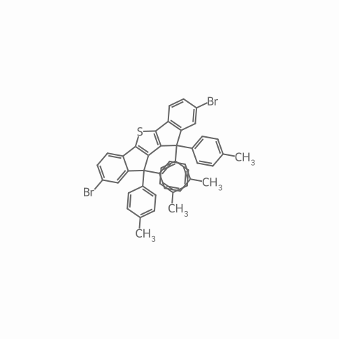 Cc1ccc(C2(c3ccc(C)cc3)c3cc(Br)ccc3-c3sc4c(c32)C(c2ccc(C)cc2)(c2ccc(C)cc2)c2cc(Br)ccc2-4)cc1